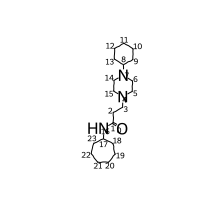 O=C(CCN1CCN(C2CCCCC2)CC1)NC1CCCCCC1